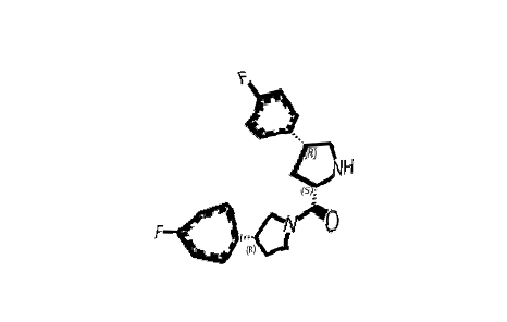 O=C([C@@H]1C[C@H](c2ccc(F)cc2)CN1)N1CC[C@H](c2ccc(F)cc2)C1